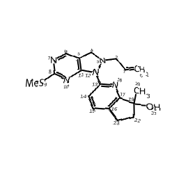 C=CCN1Cc2cnc(SC)nc2N1c1ccc2c(n1)C(C)(O)CC2